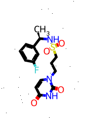 C[C@@H](NS(=O)(=O)CCCn1ccc(=O)[nH]c1=O)c1cccc(F)c1